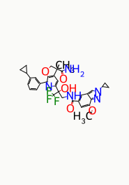 COc1cc(C(=O)NCC(O)(c2cc3c(c(-c4cccc(C5CC5)c4)n2)OC[C@]3(C)C(N)=O)C(F)(F)F)cc2cn(C3CC3)nc12